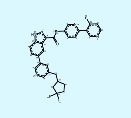 O=C(Nc1ccc(-c2cnccc2F)nc1)c1n[nH]c2ccc(-c3cncc(CC4CCC(F)(F)C4)c3)cc12